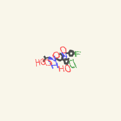 Cc1c(CC(=O)NCC(C)C(=O)O)c2cc(O)c(Cl)cc2n1C(=O)c1ccc(F)cc1